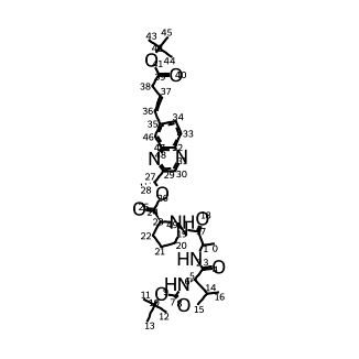 CC(NC(=O)[C@@H](NC(=O)OC(C)(C)C)C(C)C)C(=O)N1CCC[C@@H](C(=O)O[C@H](C)c2cnc3ccc(/C=C/CC(=O)OC(C)(C)C)cc3n2)N1